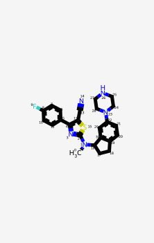 CN(c1nc(-c2ccc(F)cc2)c(C#N)s1)C1CCc2ccc(N3CCNCC3)cc21